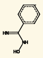 N=C(NO)c1cc[c]cc1